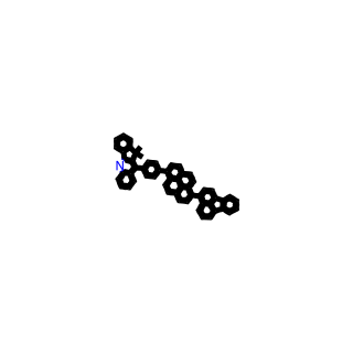 CC1(C)c2ccccc2-c2nc3ccccc3c(-c3ccc(-c4ccc5ccc6c(-c7ccc8c9c(cccc79)-c7ccccc7-8)ccc7ccc4c5c76)cc3)c21